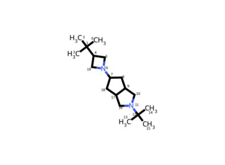 CC(C)(C)C1CN(C2CC3CN(C(C)(C)C)CC3C2)C1